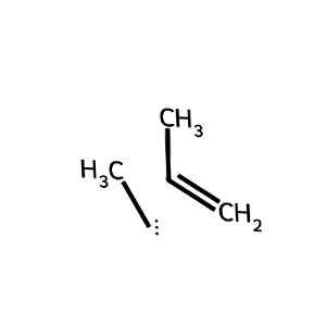 C=CC.[C]C